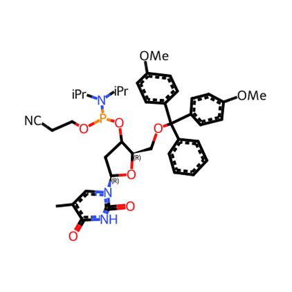 COc1ccc(C(OC[C@H]2O[C@@H](n3cc(C)c(=O)[nH]c3=O)CC2OP(OCCC#N)N(C(C)C)C(C)C)(c2ccccc2)c2ccc(OC)cc2)cc1